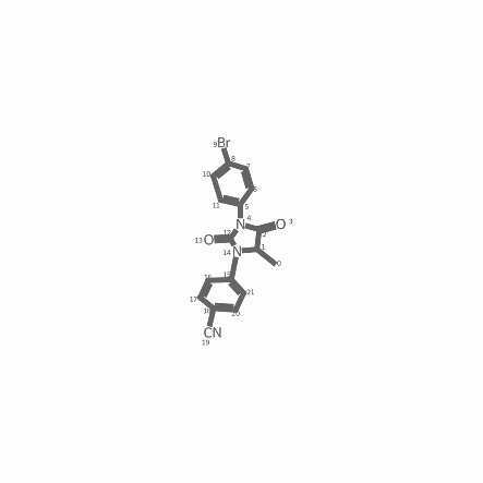 CC1C(=O)N(c2ccc(Br)cc2)C(=O)N1c1ccc(C#N)cc1